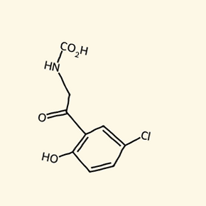 O=C(O)NCC(=O)c1cc(Cl)ccc1O